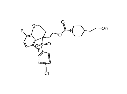 O=C(OCCC1(S(=O)(=O)c2ccc(Cl)cc2)CCOc2c(F)ccc(F)c21)N1CCC(CCO)CC1